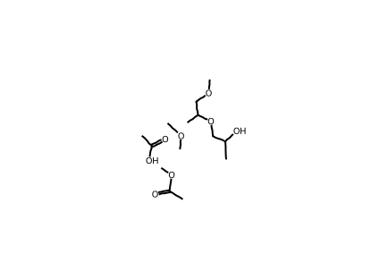 CC(=O)O.COC.COC(C)=O.COCC(C)OCC(C)O